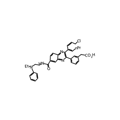 CCC/C=C(\C=C/CCl)c1nc2ccc(C(=O)NCCN(CC)c3ccccc3)cc2nc1-c1cccc(CC(=O)O)c1